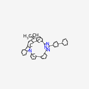 C[Si]1(C)c2ccc3cc2-c2cc4c(cc21)c1ccccc1n4-c1cccc(c1)-c1cccc(c1)-c1nc(-c2ccc(-c4ccccc4)cc2)nc-3n1